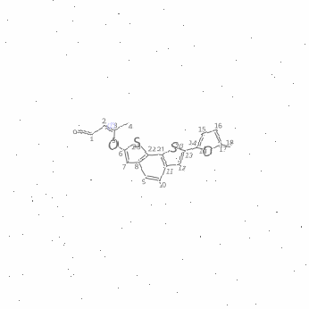 C=C/C=C(/C)Oc1cc2ccc3cc(-c4ccc(C)o4)sc3c2s1